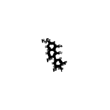 Cc1cc(F)c2c(F)c(-c3cc(F)c(F)c(F)c3)c(F)cc2c1